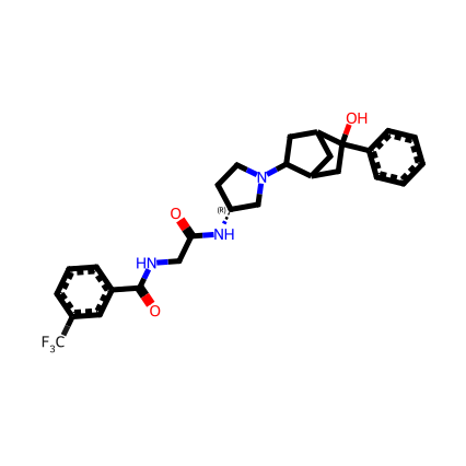 O=C(CNC(=O)c1cccc(C(F)(F)F)c1)N[C@@H]1CCN(C2CC3CC2CC3(O)c2ccccc2)C1